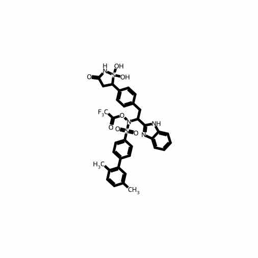 Cc1ccc(C)c(-c2ccc(S(=O)(=O)N(OC(=O)C(F)(F)F)C(Cc3ccc(C4CC(=O)NS4(O)O)cc3)c3nc4ccccc4[nH]3)cc2)c1